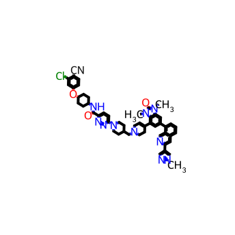 Cn1cc(-c2cc3cccc(-c4cc(C5=CCN(CC6CCN(c7ccc(C(=O)NC8CCC(Oc9ccc(C#N)c(Cl)c9)CC8)nn7)CC6)CC5)c5c(c4)n(C)c(=O)n5C)c3cn2)cn1